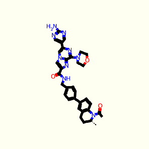 CC(=O)N1c2ccc(-c3ccc(CNC(=O)c4cn5cc(-c6cnc(N)nc6)nc(N6CCOCC6)c5n4)cc3)cc2CC[C@H]1C